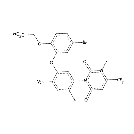 Cn1c(C(F)(F)F)cc(=O)n(-c2cc(Oc3cc(Br)ccc3OCC(=O)O)c(C#N)cc2F)c1=O